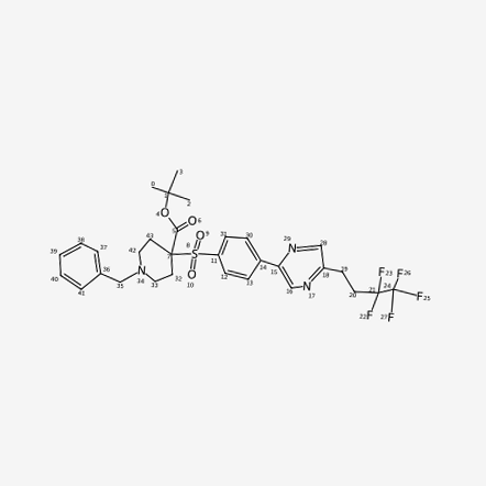 CC(C)(C)OC(=O)C1(S(=O)(=O)c2ccc(-c3cnc(CCC(F)(F)C(F)(F)F)cn3)cc2)CCN(Cc2ccccc2)CC1